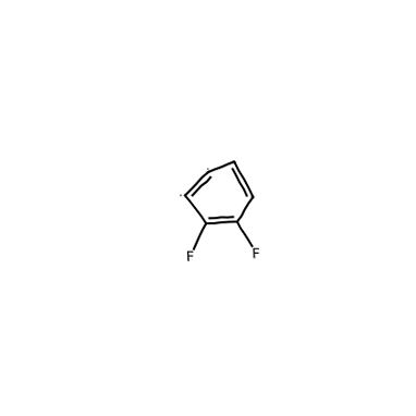 Fc1[c][c]ccc1F